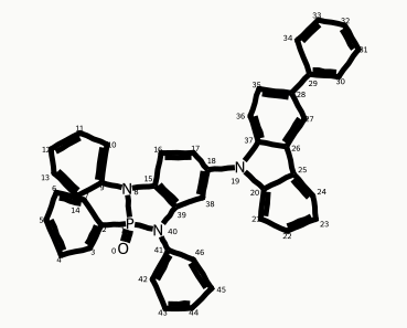 O=P1(c2ccccc2)N(c2ccccc2)c2ccc(-n3c4ccccc4c4cc(-c5ccccc5)ccc43)cc2N1c1ccccc1